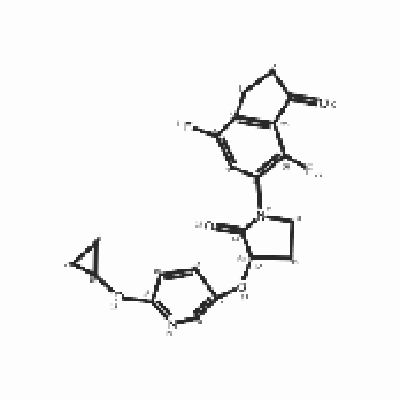 O=C1CCc2c(F)cc(N3CC[C@@H](Oc4ccc(OC5CC5)nc4)C3=O)c(F)c21